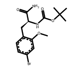 COc1cc(Br)ccc1C[C@H](NC(=O)OC(C)(C)C)C(N)=O